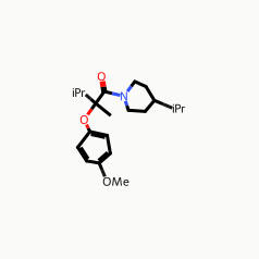 COc1ccc(OC(C)(C(=O)N2CCC(C(C)C)CC2)C(C)C)cc1